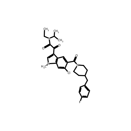 CCN(C(=O)C(=O)c1cn(C)c2cc(Cl)c(C(=O)N3CCC(Cc4ccc(F)cc4)CC3)cc12)C(C)C